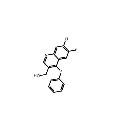 OCc1cnc2cc(Cl)c(F)cc2c1Sc1ccccc1